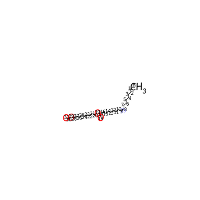 CCCCCCCC/C=C\CCCCCCCC(=O)OCCCCCCCCCOC=O